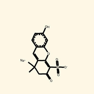 CC1(C)CC(=O)C(S(=O)(=O)[O-])=C2Oc3cc(O)ccc3C=C21.[Na+]